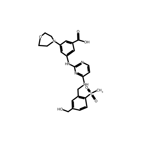 CS(=O)(=O)c1ccc(CO)cc1CNc1ccnc(Nc2cc(C(=O)O)cc(N3CCOCC3)c2)n1